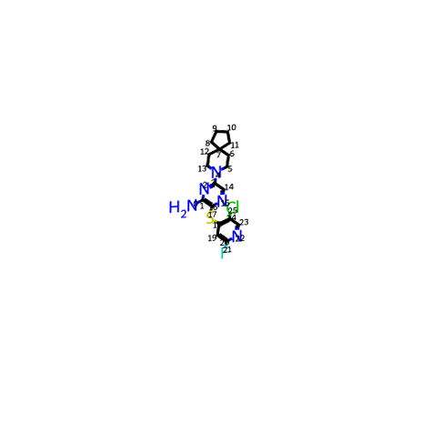 Nc1nc(N2CCC3(CCCC3)CC2)cnc1Sc1cc(F)ncc1Cl